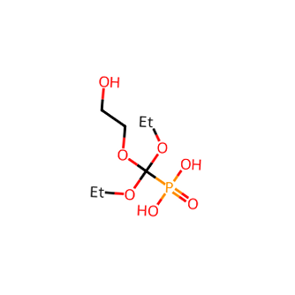 CCOC(OCC)(OCCO)P(=O)(O)O